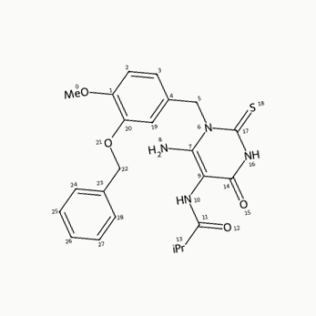 COc1ccc(Cn2c(N)c(NC(=O)C(C)C)c(=O)[nH]c2=S)cc1OCc1ccccc1